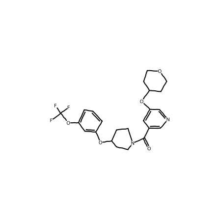 O=C(c1cncc(OC2CCOCC2)c1)N1CCC(Oc2cccc(OC(F)(F)F)c2)CC1